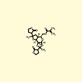 C=C(C)C(=O)OC[C@H]1O[C@H]2OC(C)(C3CCOC3=O)O[C@@H]2[C@H]2OC(C)(C3CCOC3=O)C[C@H]21